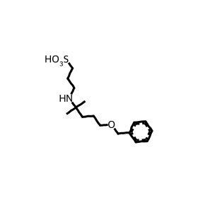 CC(C)(CCCOCc1ccccc1)NCCCS(=O)(=O)O